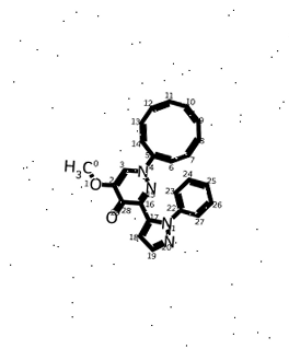 COc1cn(-c2ccccccccc2)nc(-c2ccnn2-c2ccccc2)c1=O